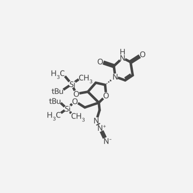 CC(C)(C)[Si](C)(C)OCC1(CN=[N+]=[N-])O[C@@H](n2ccc(=O)[nH]c2=O)CC1O[Si](C)(C)C(C)(C)C